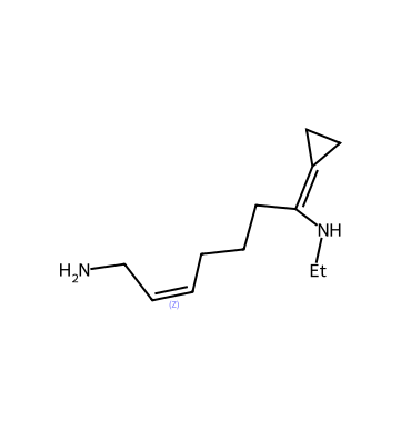 CCNC(CCC/C=C\CN)=C1CC1